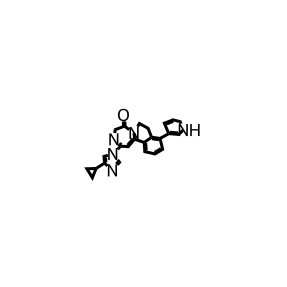 O=C1CN=C(n2cnc(C3CC3)c2)C=C2c3cccc(C4=CNCC=C4)c3CCN12